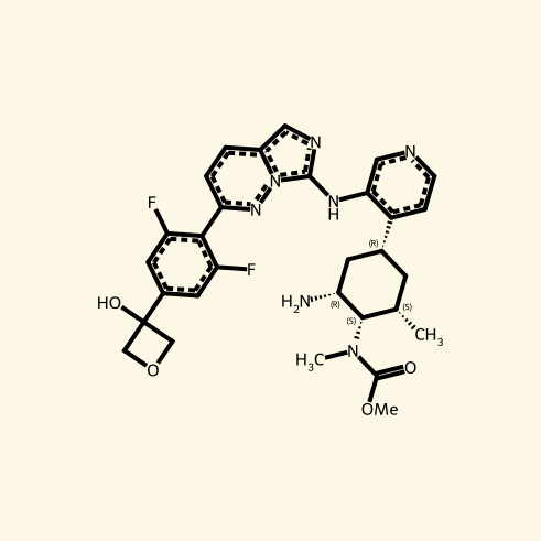 COC(=O)N(C)[C@@H]1[C@H](N)C[C@H](c2ccncc2Nc2ncc3ccc(-c4c(F)cc(C5(O)COC5)cc4F)nn23)C[C@@H]1C